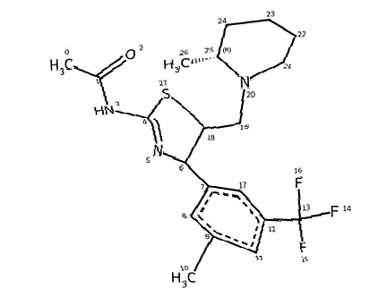 CC(=O)NC1=NC(c2cc(C)cc(C(F)(F)F)c2)C(CN2CCCC[C@H]2C)S1